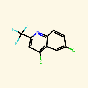 FC(F)(F)c1cc(Cl)c2cc(Cl)ccc2n1